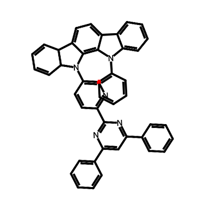 C1=CC2c3ccc4c5ccccc5n(-c5ccccc5)c4c3N(c3ccc(-c4nc(-c5ccccc5)cc(-c5ccccc5)n4)nc3)C2C=C1